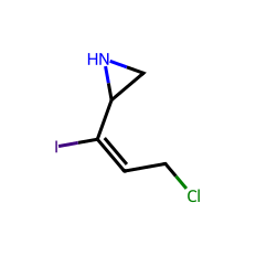 ClC/C=C(/I)C1CN1